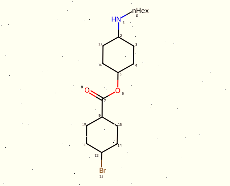 CCCCCCNC1CCC(OC(=O)C2CCC(Br)CC2)CC1